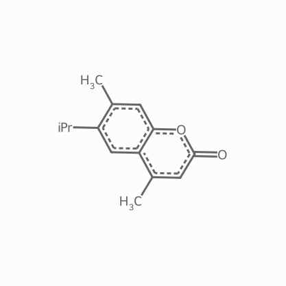 Cc1cc2oc(=O)cc(C)c2cc1C(C)C